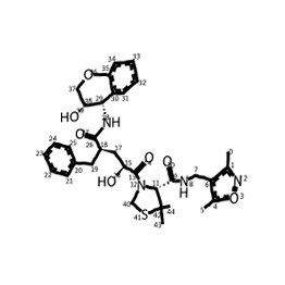 Cc1noc(C)c1CNC(=O)[C@H]1N(C(=O)[C@@H](O)C[C@@H](Cc2ccccc2)C(=O)N[C@H]2c3ccccc3OC[C@H]2O)CSC1(C)C